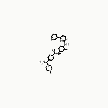 Cc1cc(NC(=O)c2ccc(C(N)N3CCN(C)CC3)cc2)ccc1Nc1nccc(-c2cccnc2)n1